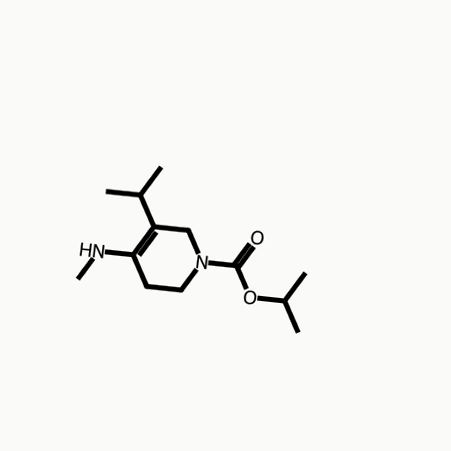 CNC1=C(C(C)C)CN(C(=O)OC(C)C)CC1